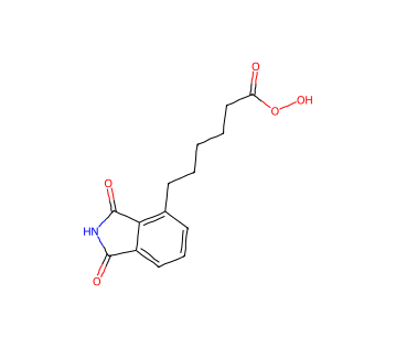 O=C(CCCCCc1cccc2c1C(=O)NC2=O)OO